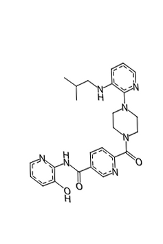 CC(C)CNc1cccnc1N1CCN(C(=O)c2ccc(C(=O)Nc3ncccc3O)cn2)CC1